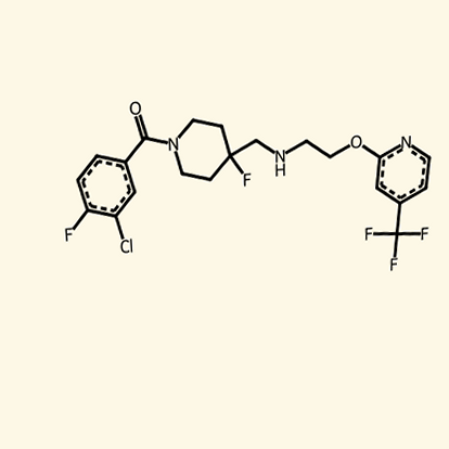 O=C(c1ccc(F)c(Cl)c1)N1CCC(F)(CNCCOc2cc(C(F)(F)F)ccn2)CC1